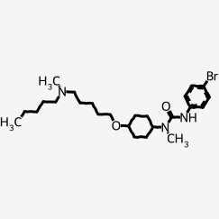 CCCCCN(C)CCCCCOC1CCC(N(C)C(=O)Nc2ccc(Br)cc2)CC1